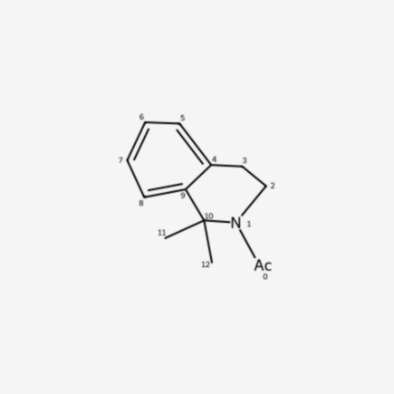 CC(=O)N1CCc2ccccc2C1(C)C